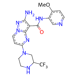 COc1ccncc1NC(=O)c1c(N)nn2ccc(N3CCNC(C(F)(F)F)C3)nc12